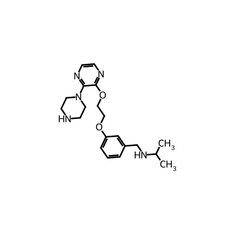 CC(C)NCc1cccc(OCCOc2nccnc2N2CCNCC2)c1